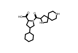 O=C(O)C1CC(C2CCCCC2)CN1C(=O)C1CC2(CCNCC2)CN1